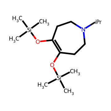 CC(C)N1CCC(O[Si](C)(C)C)=C(O[Si](C)(C)C)CC1